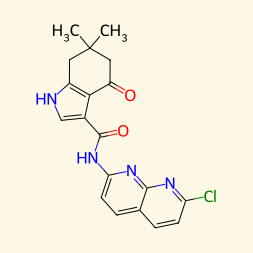 CC1(C)CC(=O)c2c(C(=O)Nc3ccc4ccc(Cl)nc4n3)c[nH]c2C1